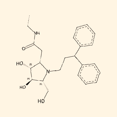 CCNC(=O)CC1[C@@H](O)[C@H](O)[C@@H](CO)N1CCC(c1ccccc1)c1ccccc1